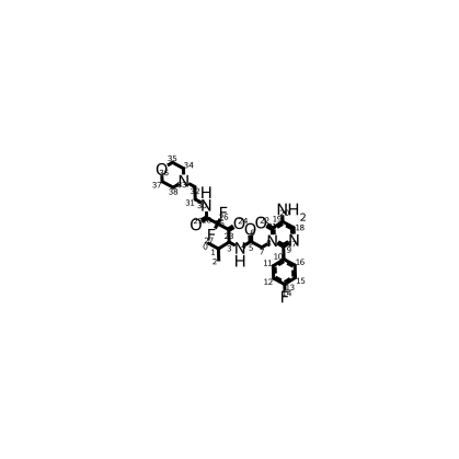 CC(C)C(NC(=O)Cn1c(-c2ccc(F)cc2)ncc(N)c1=O)C(=O)C(F)(F)C(=O)NCCN1CCOCC1